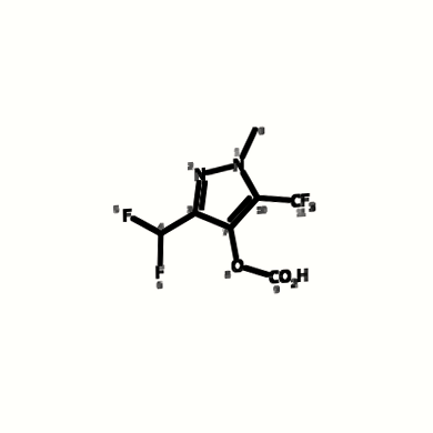 Cn1nc(C(F)F)c(OC(=O)O)c1C(F)(F)F